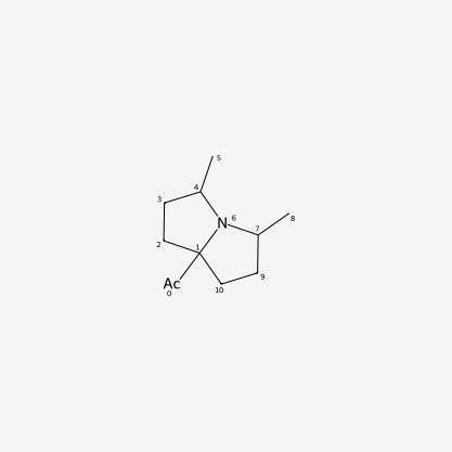 CC(=O)C12CCC(C)N1C(C)CC2